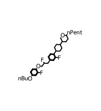 CCCCCC1CCC(C2CCC(c3ccc(CC(F)COc4ccc(OCCCC)cc4F)cc3F)CC2)CO1